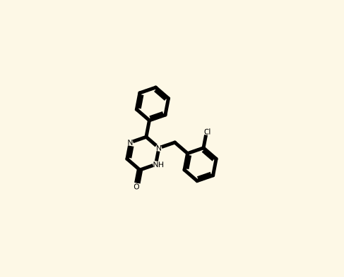 O=C1C=NC(c2ccccc2)N(Cc2ccccc2Cl)N1